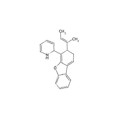 CC=C(C)C1CC=c2c(oc3ccccc23)=C1C1C=CC=CN1